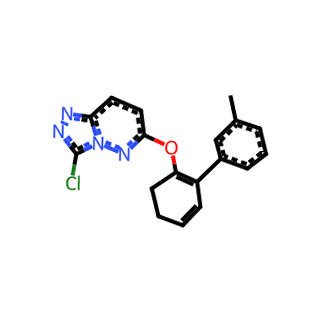 Cc1cccc(C2=C(Oc3ccc4nnc(Cl)n4n3)CCC=C2)c1